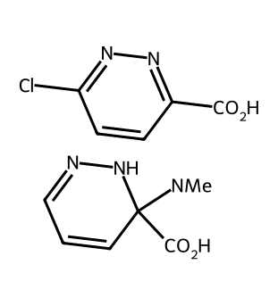 CNC1(C(=O)O)C=CC=NN1.O=C(O)c1ccc(Cl)nn1